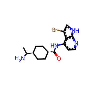 CC(N)[C@H]1CC[C@H](C(=O)Nc2ccnc3[nH]cc(Br)c23)CC1